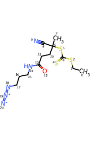 CCSC(=S)SC(C)(C#N)CCC(=O)NCCCN=[N+]=[N-]